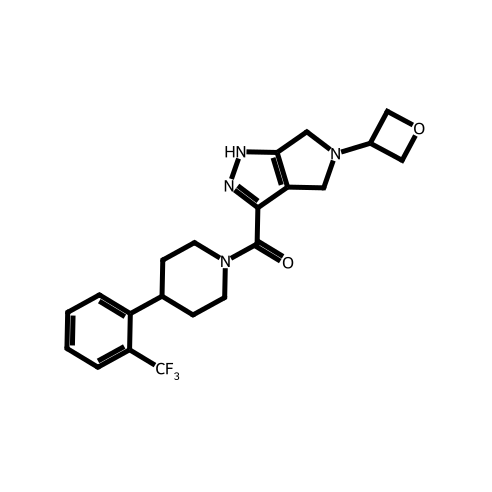 O=C(c1n[nH]c2c1CN(C1COC1)C2)N1CCC(c2ccccc2C(F)(F)F)CC1